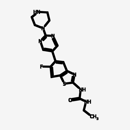 CCNC(=O)Nc1nc2cc(-c3cnc(N4CCNCC4)nc3)c(F)cc2s1